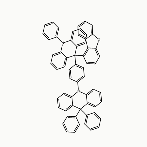 c1ccc(N2c3ccccc3C(c3ccc(N4c5ccccc5C(c5ccccc5)(c5ccccc5)c5ccccc54)cc3)(c3cccc4oc5ccccc5c34)c3ccccc32)cc1